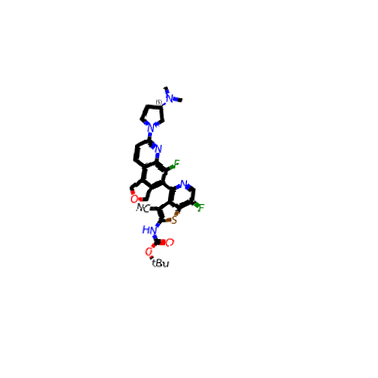 CN(C)[C@H]1CCN(c2ccc3c4c(c(-c5ncc(F)c6sc(NC(=O)OC(C)(C)C)c(C#N)c56)c(F)c3n2)COC4)C1